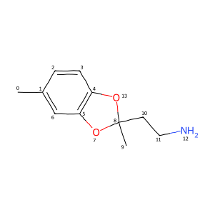 Cc1ccc2c(c1)OC(C)(CCN)O2